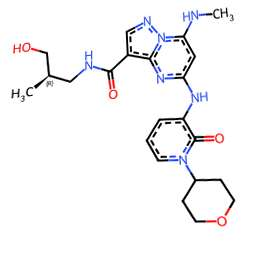 CNc1cc(Nc2cccn(C3CCOCC3)c2=O)nc2c(C(=O)NC[C@@H](C)CO)cnn12